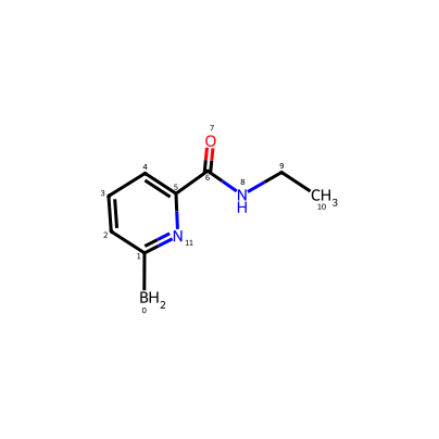 Bc1cccc(C(=O)NCC)n1